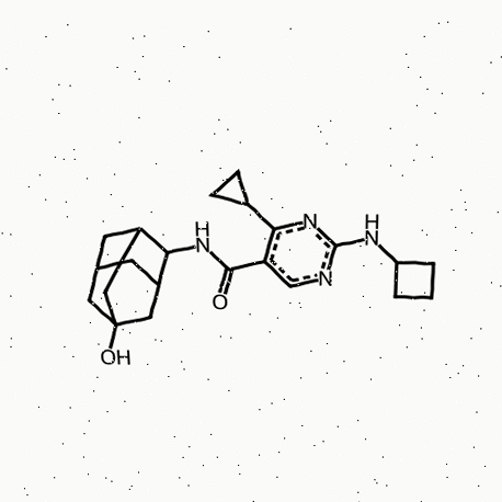 O=C(NC1C2CC3CC1CC(O)(C3)C2)c1cnc(NC2CCC2)nc1C1CC1